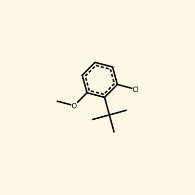 COc1cc[c]c(Cl)c1C(C)(C)C